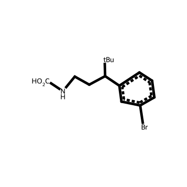 CC(C)(C)C(CCNC(=O)O)c1cccc(Br)c1